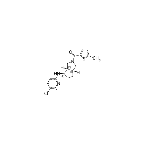 Cc1ccc(C(=O)N2C[C@@H]3CC[C@@H](Nc4ccc(Cl)nn4)[C@@H]3C2)s1